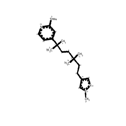 COc1cc(C(C)(C)CCC(C)(C)CCc2cnn(C)c2)ccn1